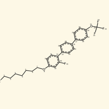 CCCCCCCCOc1ccc(-c2ccc(-c3ccc(OC(F)(F)F)cc3)cc2)c(F)c1